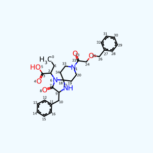 CCC(C(=O)O)N1C(=O)C(Cc2ccccc2)NC12CCN(C(=O)COCc1ccccc1)CC2